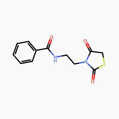 O=C(NCCN1C(=O)CSC1=O)c1ccccc1